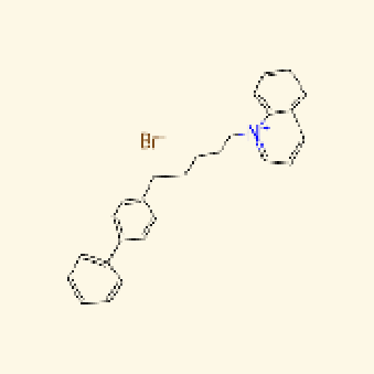 [Br-].c1ccc(-c2ccc(CCCCC[n+]3cccc4ccccc43)cc2)cc1